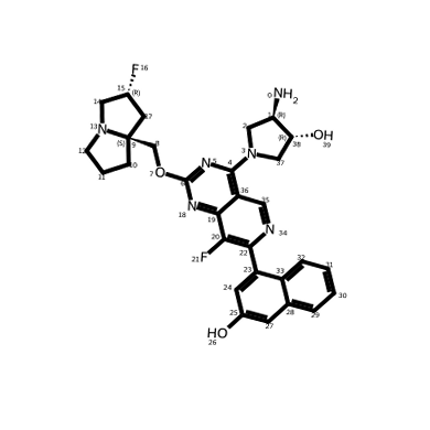 N[C@@H]1CN(c2nc(OC[C@@]34CCCN3C[C@H](F)C4)nc3c(F)c(-c4cc(O)cc5ccccc45)ncc23)C[C@H]1O